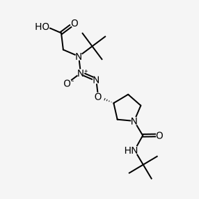 CC(C)(C)NC(=O)N1CC[C@@H](O/N=[N+](\[O-])N(CC(=O)O)C(C)(C)C)C1